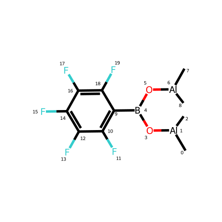 [CH3][Al]([CH3])[O]B([O][Al]([CH3])[CH3])c1c(F)c(F)c(F)c(F)c1F